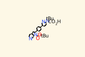 CC(C)(C)OC(=O)n1c(-c2ccc(-c3ccc(N(C(=O)O)C(C)(C)C)nc3)cc2)cc2ccncc21